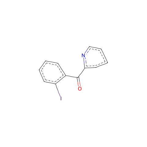 O=C(c1ccccn1)c1ccccc1I